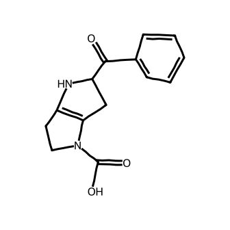 O=C(c1ccccc1)C1CC2=C(CCN2C(=O)O)N1